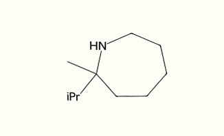 CC(C)C1(C)CCCCCN1